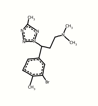 Cc1nnn(C(CCN(C)C)c2ccc(C)c(Br)c2)n1